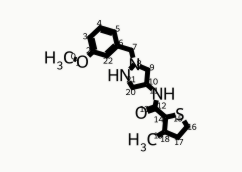 COc1cccc(CN2CC(NC(=O)C3SCCC3C)CN2)c1